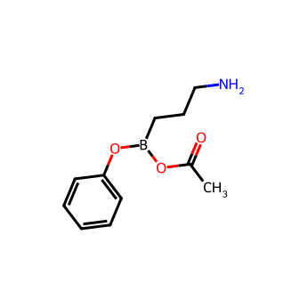 CC(=O)OB(CCCN)Oc1ccccc1